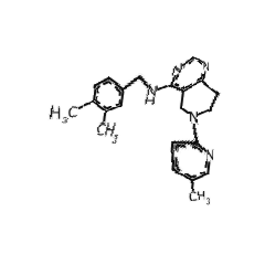 Cc1ccc(N2CCc3ncnc(NCc4ccc(C)c(C)c4)c3C2)nc1